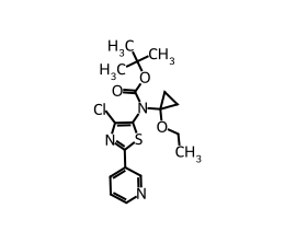 CCOC1(N(C(=O)OC(C)(C)C)c2sc(-c3cccnc3)nc2Cl)CC1